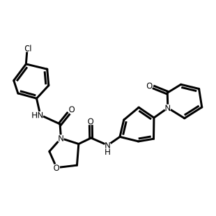 O=C(Nc1ccc(-n2ccccc2=O)cc1)C1COCN1C(=O)Nc1ccc(Cl)cc1